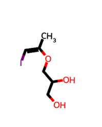 CC(=CI)OCC(O)CO